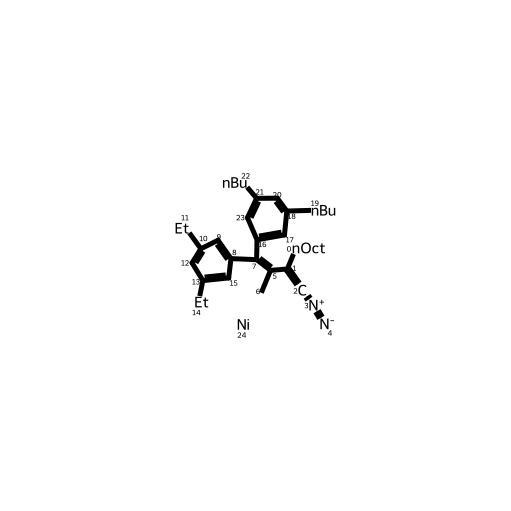 CCCCCCCCC(=C=[N+]=[N-])C(C)=C(c1cc(CC)cc(CC)c1)c1cc(CCCC)cc(CCCC)c1.[Ni]